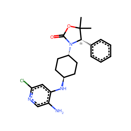 CC1(C)OC(=O)N([C@H]2CC[C@H](Nc3cc(Cl)ncc3N)CC2)[C@H]1c1ccccc1